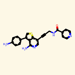 Nc1ccc(-c2csc3c(C#CCNC(=O)c4ccncc4)cnc(N)c23)cc1